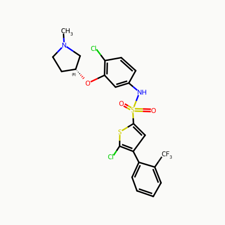 CN1CC[C@@H](Oc2cc(NS(=O)(=O)c3cc(-c4ccccc4C(F)(F)F)c(Cl)s3)ccc2Cl)C1